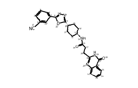 N#Cc1cccc(-c2nnc([C@H]3CC[C@H](NC(=O)CCc4nc5ccccc5c(=O)[nH]4)CC3)o2)c1